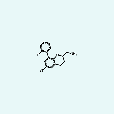 NC[C@H]1CCc2cc(Cl)cc(-c3ccccc3F)c2O1